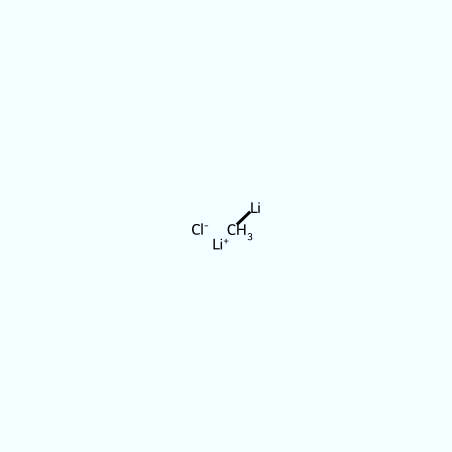 [Cl-].[Li+].[Li][CH3]